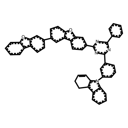 C1=Cc2c(c3ccccc3n2-c2cccc(-c3nc(-c4ccccc4)nc(-c4ccc5c(c4)oc4ccc(-c6ccc7c(c6)oc6ccccc67)cc45)n3)c2)CC1